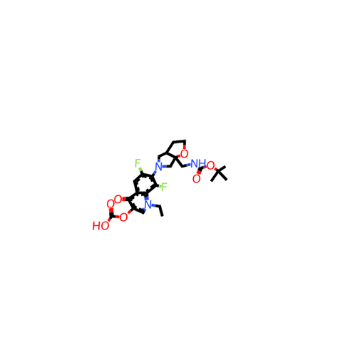 CCn1cc(OC(=O)O)c(=O)c2cc(F)c(N3CC4CCOC4(CNC(=O)OC(C)(C)C)C3)c(F)c21